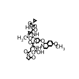 C=C[C@@H]1C[C@]1(NC(=O)[C@@H]1C[C@@H](Oc2nccc3cc(OC)ccc23)CN1C(=O)[C@H](CCC(=O)N1CCC1=O)NC(=O)O)C(=O)NS(=O)(=O)C1CC1